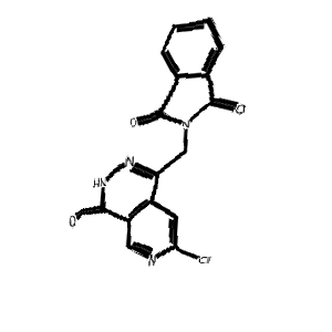 O=C1c2ccccc2C(=O)N1Cc1n[nH]c(=O)c2cnc(Cl)cc12